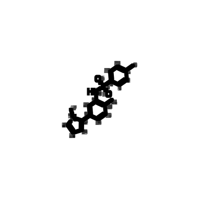 Cc1ccc(S(=O)(=O)Nc2cc(-c3cccn3C)ccc2C)cc1